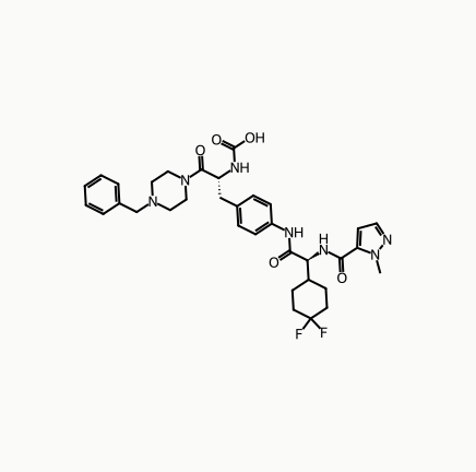 Cn1nccc1C(=O)N[C@H](C(=O)Nc1ccc(C[C@@H](NC(=O)O)C(=O)N2CCN(Cc3ccccc3)CC2)cc1)C1CCC(F)(F)CC1